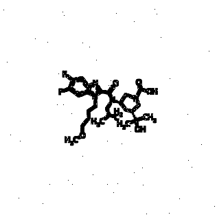 COCCCCn1c(C(=O)N(CC(C)C)[C@H]2C[C@@H](C(C)(C)O)CN(C(=O)O)C2)nc2cc(F)c(F)cc21